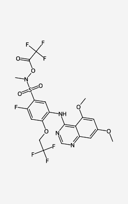 COc1cc(OC)c2c(Nc3cc(S(=O)(=O)N(C)OC(=O)C(F)(F)F)c(F)cc3OCC(F)(F)F)ncnc2c1